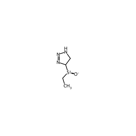 CC[S@+]([O-])C1CNN=N1